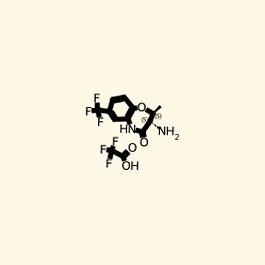 C[C@@H]1Oc2ccc(C(F)(F)F)cc2NC(=O)[C@H]1N.O=C(O)C(F)(F)F